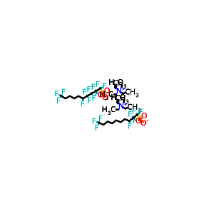 CC[N+](CC)(CC)CC.CC[N+](CC)(CC)CC.O=S(=O)([O-])C(F)(F)C(F)(F)C(F)(F)C(F)(F)C(F)CCCCC(F)(F)F.O=S(=O)([O-])C(F)(F)C(F)(F)C(F)CCCCCCC(F)(F)F